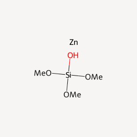 CO[Si](O)(OC)OC.[Zn]